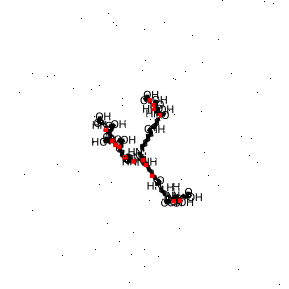 O=C(O)CC[C@H](NC(=O)N[C@@H](CCCCNC(=O)CCCCCCCNc1nc(NCCCCCCCC(=O)NCCCC[C@H](NC(=O)N[C@@H](CCC(=O)O)C(=O)O)C(=O)O)nc(Nc2ccc(CCCN(CCN(CCN(CCNCC(=O)O)CC(=O)O)CC(=O)O)CC(=O)O)cc2)n1)C(=O)O)C(=O)O